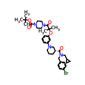 CC(C)(C)OC(=O)N1CCN(C(=O)C(C)(C)Oc2cccc(N3CCC[C@@H](C(=O)N(Cc4ccc(Br)cc4)CC4CC4)C3)c2)CC1